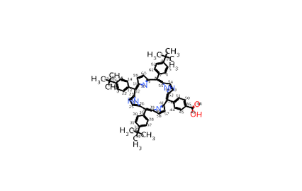 CC(C)(C)c1ccc(-c2c3nc(c(-c4ccc(C(C)(C)C)cc4)c4ccc([nH]4)c(-c4ccc(C(C)(C)C)cc4)c4nc(c(-c5ccc(C(=O)O)cc5)c5ccc2[nH]5)C=C4)C=C3)cc1